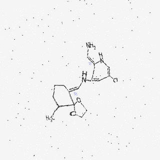 CC1CCC/C(=C\NC2=CC(Cl)=CN/C2=C\N)C12OCCO2